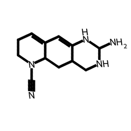 N#CN1CCC=C2C=C3NC(N)NCC3CC21